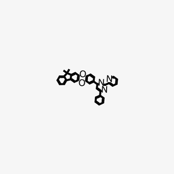 CC1(C)c2ccccc2-c2cc3c(cc21)Oc1ccc(-c2cc(-c4ccccc4)nc(-c4ccccn4)n2)cc1O3